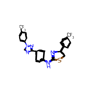 FC(F)(F)c1ccc(C2CSC(Nc3ccc(-c4ncn(-c5ccc(C(F)(F)F)cc5)n4)cc3)=N2)cc1